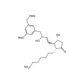 COCc1cc(CC(O)/C=C/[C@H]2[C@H](O)CC(=O)[C@@H]2CCCCCCC(=O)O)cc(OC)c1